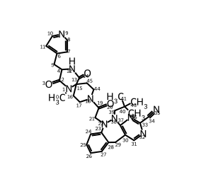 CN1C(=O)C(Cc2ccncc2)NC(=O)C12CCN(C(=O)CN1c3ccccc3Cc3cnc(C#N)nc3N1CC(C)(C)C)CC2